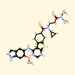 COc1cc2[nH]ncc2cc1Nc1ncnc2sc3c(c12)CCC(C(=O)N(CCC(=O)N(C)C)C1CC1)C3